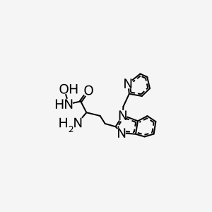 NC(CCc1nc2ccccc2n1Cc1ccccn1)C(=O)NO